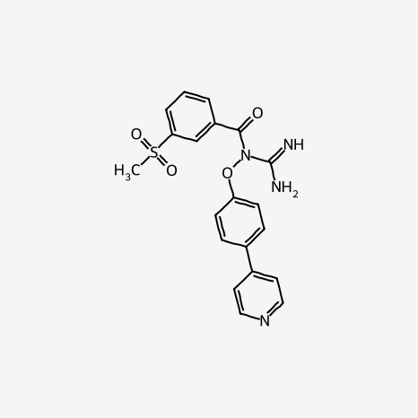 CS(=O)(=O)c1cccc(C(=O)N(Oc2ccc(-c3ccncc3)cc2)C(=N)N)c1